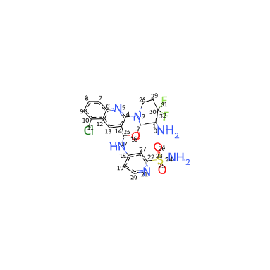 NC1CN(c2nc3cccc(Cl)c3cc2C(=O)Nc2ccnc(S(N)(=O)=O)c2)CCC1(F)F